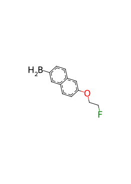 Bc1ccc2cc(OCCF)ccc2c1